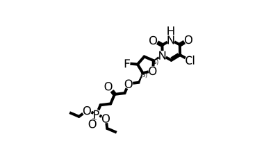 CCOP(=O)(CCC(=O)COC[C@@H]1O[C@H](n2cc(Cl)c(=O)[nH]c2=O)CC1F)OCC